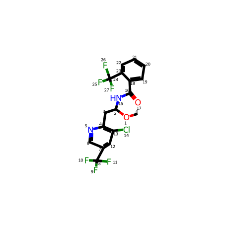 COC(Cc1ncc(C(F)(F)F)cc1Cl)NC(=O)c1ccccc1C(F)(F)F